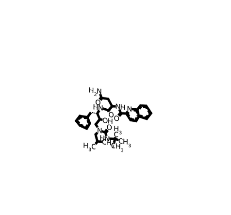 CC(C)CN(CC(O)[C@H](Cc1ccccc1)NC(=O)C(CC(N)=O)NC(=O)c1ccc2ccccc2n1)C(=O)NC(C)(C)C